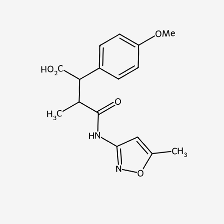 COc1ccc(C(C(=O)O)C(C)C(=O)Nc2cc(C)on2)cc1